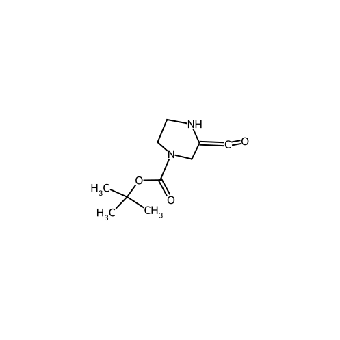 CC(C)(C)OC(=O)N1CCNC(=C=O)C1